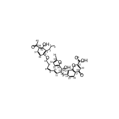 CCCc1c(OCC/C=C\C=C\[C@H](Sc2ccc3c(=O)cc(C(=O)O)oc3c2)[C@H](O)c2ccc(C)o2)ccc(C(C)=O)c1O